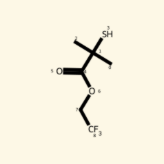 CC(C)(S)C(=O)OCC(F)(F)F